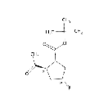 CC(=O)[C@@H]1C[C@@H](F)CC1C(=O)OC(C)(C)C